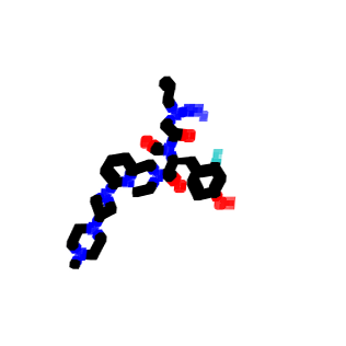 C=CCN(N)CC(=O)N(C=O)[C@@H](Cc1ccc(O)cc1F)C(=O)N(CC)Cc1cccc(N2CC(N3CCN(C)CC3)C2)n1